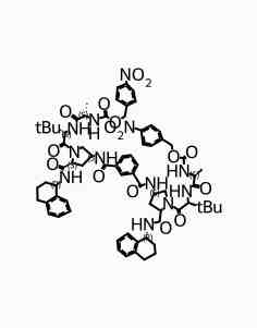 C[C@H](NC(=O)OCc1ccc([N+](=O)[O-])cc1)C(=O)NC(C(=O)N1C[C@@H](NC(=O)c2cccc(C(=O)N[C@H]3C[C@@H](C(=O)N[C@@H]4CCCc5ccccc54)N(C(=O)[C@@H](NC(=O)[C@H](C)NC(=O)OCc4ccc([N+](=O)[O-])cc4)C(C)(C)C)C3)c2)CC1C(=O)N[C@@H]1CCCc2ccccc21)C(C)(C)C